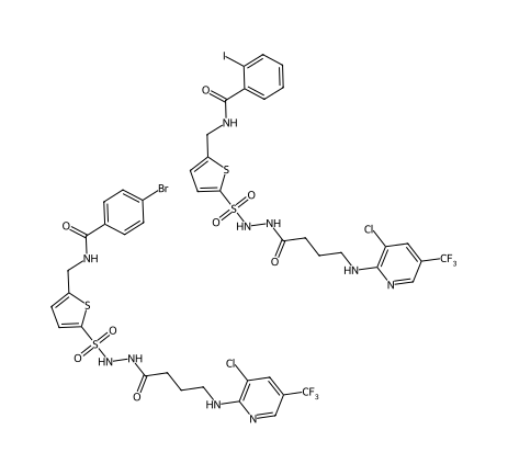 O=C(CCCNc1ncc(C(F)(F)F)cc1Cl)NNS(=O)(=O)c1ccc(CNC(=O)c2ccc(Br)cc2)s1.O=C(CCCNc1ncc(C(F)(F)F)cc1Cl)NNS(=O)(=O)c1ccc(CNC(=O)c2ccccc2I)s1